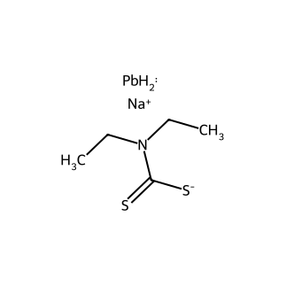 CCN(CC)C(=S)[S-].[Na+].[PbH2]